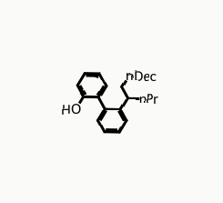 CCCCCCCCCCCC(CCC)c1ccccc1-c1ccccc1O